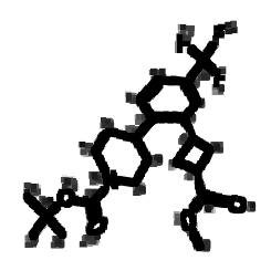 COC(=O)[C@H]1C[C@@H](c2cc(C(F)(F)F)ccc2C2CCN(C(=O)OC(C)(C)C)CC2)C1